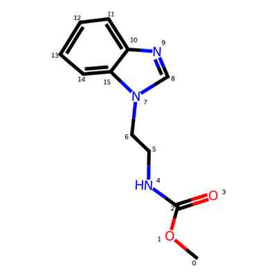 COC(=O)NCCn1cnc2ccccc21